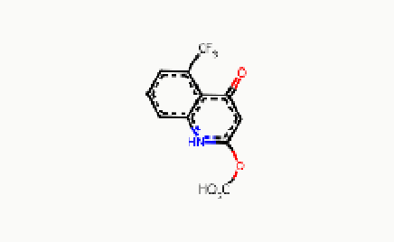 O=C(O)Oc1cc(=O)c2c(C(F)(F)F)cccc2[nH]1